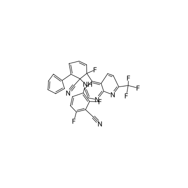 N#Cc1c(F)ccc(NC2(C#N)C(c3ccccc3)=CC=CC2(F)c2ccnc3nc(C(F)(F)F)ccc23)c1F